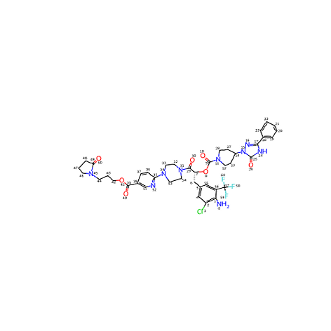 Nc1c(Cl)cc(C[C@@H](OC(=O)N2CCC(n3nc(-c4ccccc4)[nH]c3=O)CC2)C(=O)N2CCN(c3ccc(C(=O)OCCCN4CCCC4=O)cn3)CC2)cc1C(F)(F)F